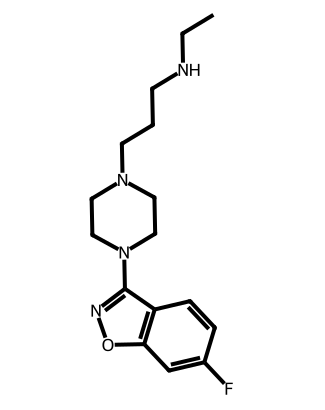 CCNCCCN1CCN(c2noc3cc(F)ccc23)CC1